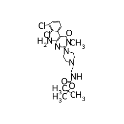 Cn1c(N2CCN(CCNC(=O)OC(C)(C)C)CC2)nc(N)c(-c2cccc(Cl)c2Cl)c1=O